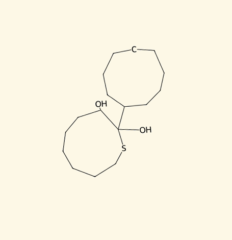 OC1CCCCCCSC1(O)C1CCCCCCCC1